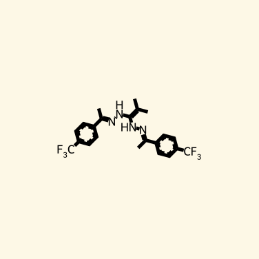 CC(C)=C(N/N=C(\C)c1ccc(C(F)(F)F)cc1)N/N=C(\C)c1ccc(C(F)(F)F)cc1